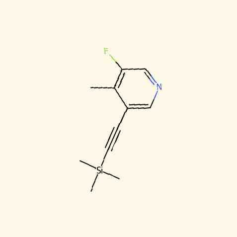 Cc1c(F)cncc1C#C[Si](C)(C)C